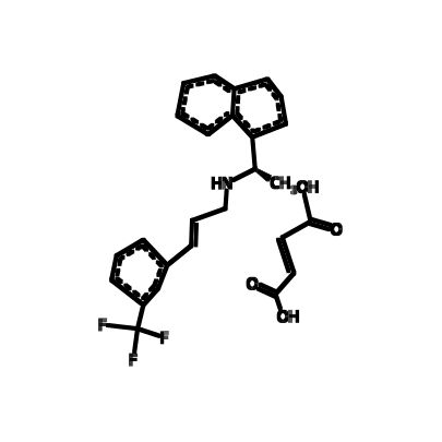 C[C@@H](NCC=Cc1cccc(C(F)(F)F)c1)c1cccc2ccccc12.O=C(O)C=CC(=O)O